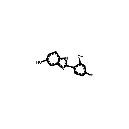 Oc1ccc2nc(-c3ccc(F)cc3O)sc2c1